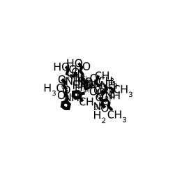 CCCC[C@H](NC(=O)[C@H](CC(C)C)NC(=O)[C@@H](NC(=O)[C@H](Cc1ccccc1C)NC(=O)[C@H](CCC(=O)O)NC(=O)[C@H](CC(=O)O)NC(=O)[C@H](C)OC(=O)Nc1ccccc1)C(C)(C)C)C(=O)C(N)=O